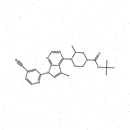 CC1CN(C(=O)OC(C)(C)C)CCN1c1ncnc2c1c(I)cn2-c1cc(C#N)ccn1